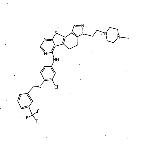 CN1CCN(CCn2ncc3c2CCc2c-3sc3ncnc(Nc4ccc(OCc5cccc(C(F)(F)F)c5)c(Cl)c4)c23)CC1